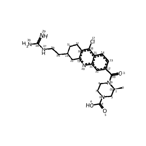 C[C@H]1CN(C(=O)O)CCN1C(=O)c1ccc2c(Cl)c3c(nc2c1)CC(CCNC(=N)N)CC3